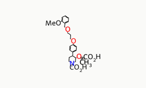 COc1ccccc1COCCCOc1ccc(C2CCN(C(=O)O)CC2O[C@H](C)C(=O)O)cc1